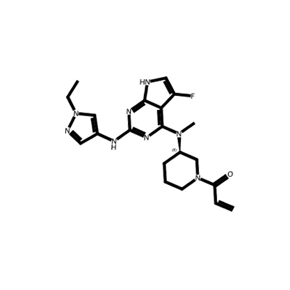 C=CC(=O)N1CCC[C@@H](N(C)c2nc(Nc3cnn(CC)c3)nc3[nH]cc(F)c23)C1